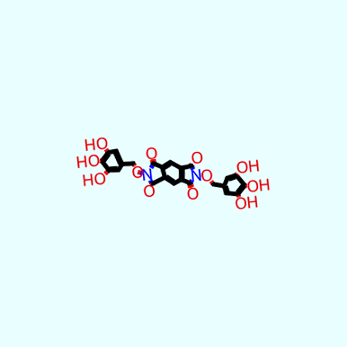 O=c1c2cc3c(=O)n(OCc4cc(O)c(O)c(O)c4)c(=O)c3cc2c(=O)n1OCc1cc(O)c(O)c(O)c1